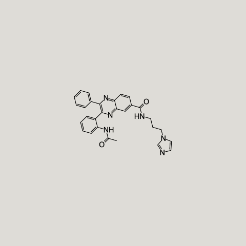 CC(=O)Nc1ccccc1-c1nc2cc(C(=O)NCCCn3ccnc3)ccc2nc1-c1ccccc1